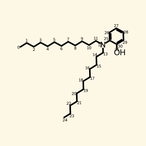 CCCCCCCCCCCCN(CCCCCCCCCCCC)c1ccccc1O